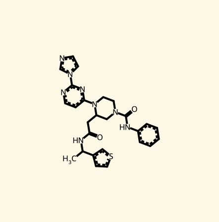 CC(NC(=O)CC1CN(C(=O)Nc2ccccc2)CCN1c1ccnc(-n2ccnc2)n1)c1ccsc1